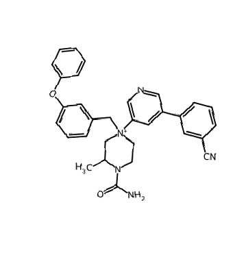 CC1C[N+](Cc2cccc(Oc3ccccc3)c2)(c2cncc(-c3cccc(C#N)c3)c2)CCN1C(N)=O